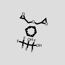 C(OCC1CO1)C1CO1.OC(F)(F)C(O)(F)C(F)(F)F.c1ccccc1